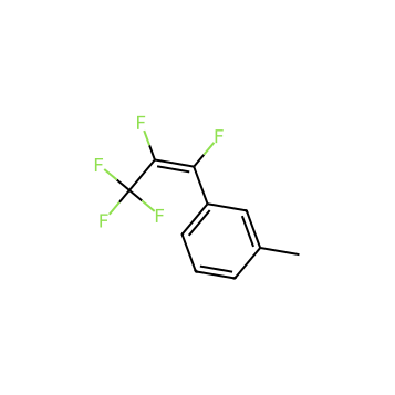 Cc1cccc(/C(F)=C(/F)C(F)(F)F)c1